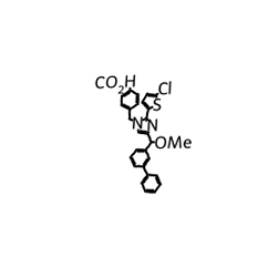 COC(c1cccc(-c2ccccc2)c1)c1cn(Cc2ccc(C(=O)O)cc2)c(-c2ccc(Cl)s2)n1